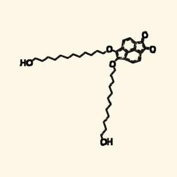 O=c1c(=O)c2ccc3c(OCCCCCCCCCCCCO)c(OCCCCCCCCCCCCO)c4ccc1c2c43